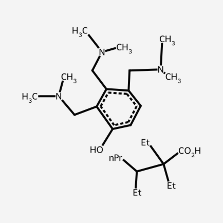 CCCC(CC)C(CC)(CC)C(=O)O.CN(C)Cc1ccc(O)c(CN(C)C)c1CN(C)C